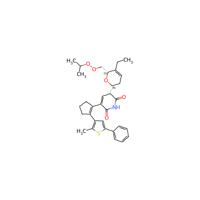 CCC1=CC[C@H](C2C=C(C3=C(c4cc(-c5ccccc5)sc4C)CCC3)C(=O)NC2=O)O[C@@H]1COOC(C)C